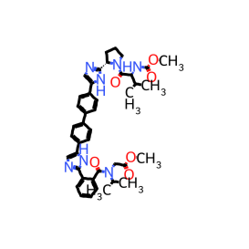 COC(=O)CN(C(=O)c1ccccc1-c1ncc(-c2ccc(-c3ccc(-c4cnc([C@@H]5CCCN5C(=O)[C@@H](NC(=O)OC)C(C)C)[nH]4)cc3)cc2)[nH]1)C(C)C